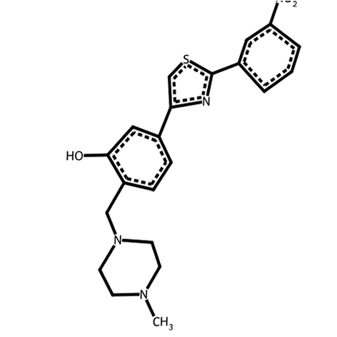 CN1CCN(Cc2ccc(-c3csc(-c4cccc([N+](=O)[O-])c4)n3)cc2O)CC1